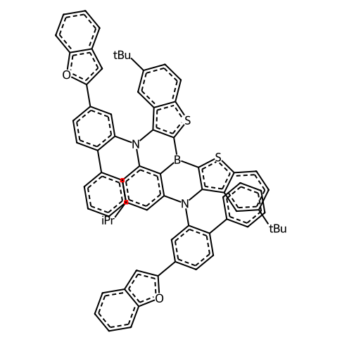 CC(C)c1cc2c3c(c1)N(c1cc(-c4cc5ccccc5o4)ccc1-c1ccccc1)c1c(sc4ccc(C(C)(C)C)cc14)B3c1sc3ccc(C(C)(C)C)cc3c1N2c1cc(-c2cc3ccccc3o2)ccc1-c1ccccc1